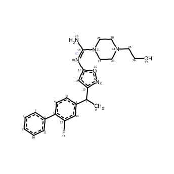 CC(c1ccc(-c2ccccc2)c(F)c1)c1cc(/N=C(/N)N2CCN(CCO)CC2)on1